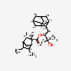 CC1C2CC(C1C)C(C)(C(=O)OC(CC1C3CC4CC(C3)CC1C4)C(O)(C(F)(F)F)C(F)(F)F)C2